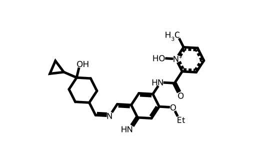 CCOC1=CC(=N)/C(=C\N=C/C2CCC(O)(C3CC3)CC2)C=C1NC(=O)c1cccc(C)[n+]1O